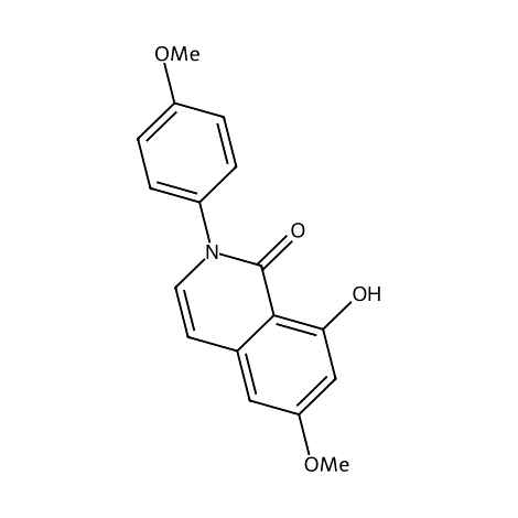 COc1ccc(-n2ccc3cc(OC)cc(O)c3c2=O)cc1